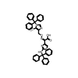 Cc1c(CO/N=C(\C(=O)O)c2csc(NC(c3ccccc3)(c3ccccc3)c3ccccc3)n2)ncn1C(c1ccccc1)(c1ccccc1)c1ccccc1